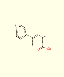 CC(=CC(C)C(=O)O)c1ccccc1